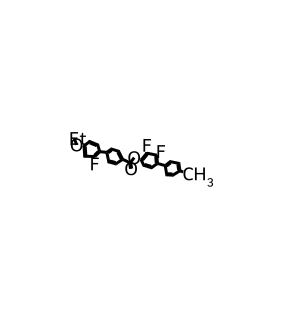 CCOc1ccc(-c2ccc(C(=O)Oc3ccc(-c4ccc(C)cc4)c(F)c3F)cc2)c(F)c1